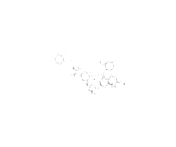 Cn1cncc1C(O)(c1ccc(C(=O)NCCc2ccccc2)cc1)c1ccc2c(c1)c(-c1cccc(Cl)c1)cc(=O)n2C